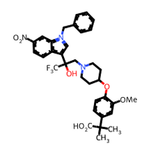 COc1cc(C(C)(C)C(=O)O)ccc1OC1CCN(CC(O)(c2cn(Cc3ccccc3)c3cc([N+](=O)[O-])ccc23)C(F)(F)F)CC1